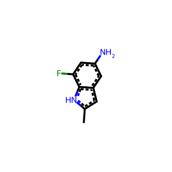 Cc1cc2cc(N)cc(F)c2[nH]1